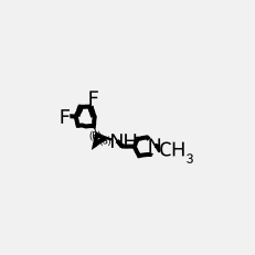 CN1CCC(CN[C@H]2C[C@@H]2C2C=C(F)C=C(F)C2)CC1